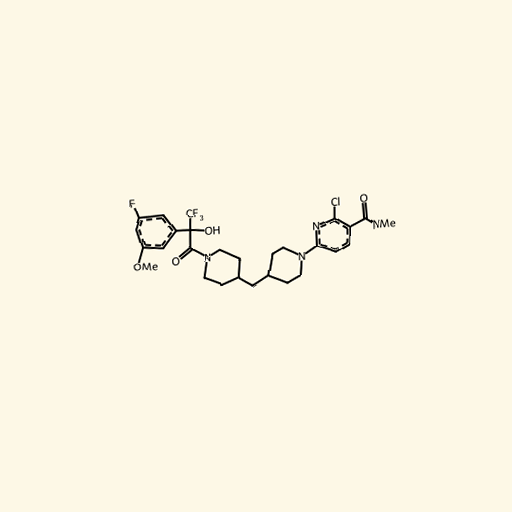 CNC(=O)c1ccc(N2CCC(CC3CCN(C(=O)C(O)(c4cc(F)cc(OC)c4)C(F)(F)F)CC3)CC2)nc1Cl